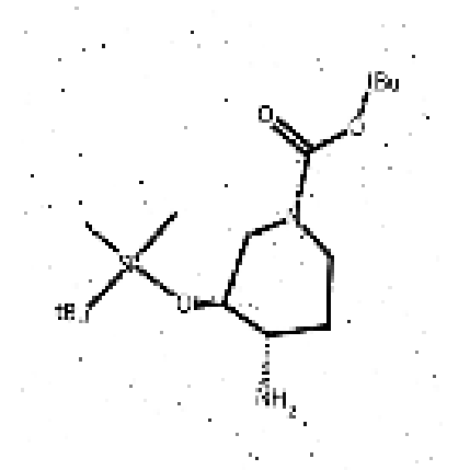 CC(C)(C)OC(=O)N1CC[C@H](N)[C@@H](O[Si](C)(C)C(C)(C)C)C1